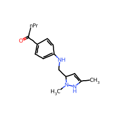 CCCC(=O)c1ccc(NCC2C=C(C)NN2C)cc1